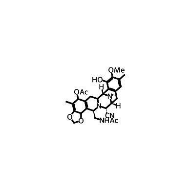 COc1c(C)cc2c(c1O)[C@H]1C3CC4=C(C5OCOC5=C(C)C4OC(C)=O)[C@H](CNC(C)=O)N3[C@@H](C#N)[C@@H](C2)N1C